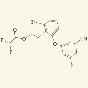 N#Cc1cc(F)cc(Oc2cccc(Br)c2CCOC(=O)C(F)F)c1